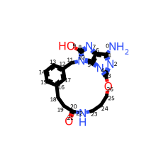 Nc1nc2nc3c1nc(O)n3Cc1cccc(c1)CCC(=O)NCCCO2